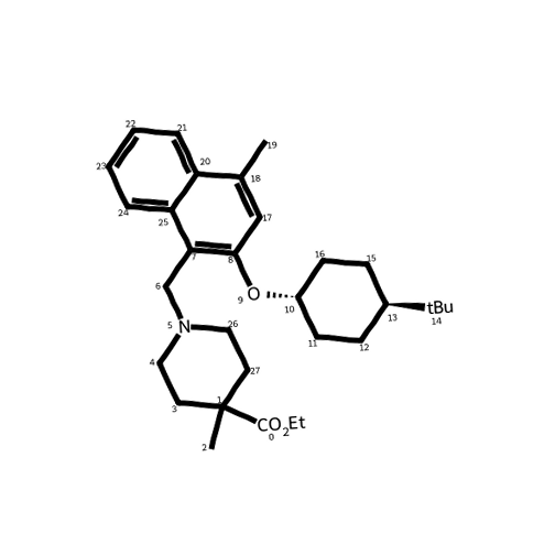 CCOC(=O)C1(C)CCN(Cc2c(O[C@H]3CC[C@H](C(C)(C)C)CC3)cc(C)c3ccccc23)CC1